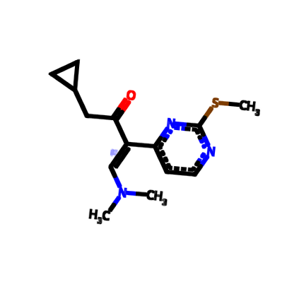 CSc1nccc(/C(=C\N(C)C)C(=O)CC2CC2)n1